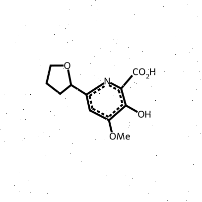 COc1cc(C2CCCO2)nc(C(=O)O)c1O